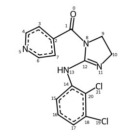 O=C(c1ccncc1)N1CCN=C1Nc1cccc(Cl)c1Cl